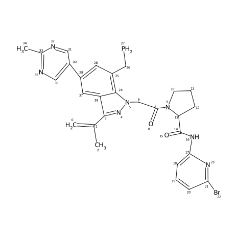 C=C(C)c1nn(CC(=O)N2CCCC2C(=O)Nc2cccc(Br)n2)c2c(CP)cc(-c3cnc(C)nc3)cc12